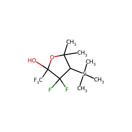 CC1(C)OC(O)(C(F)(F)F)C(F)(F)C1[Si](C)(C)C